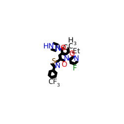 CCOc1ncc(F)cc1-n1c(C=C(C)C)c(C(=O)N2CCNCC2)cc(-c2nc(-c3ccc(C(F)(F)F)cc3)cs2)c1=O